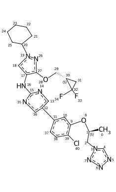 C[C@@H](Cn1cnnn1)Oc1cc(-c2cnc(Nc3cn(C4CCCCC4)nc3OC[C@@H]3CC3(F)F)nc2)ccc1Cl